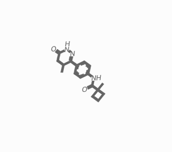 CC1CC(=O)NN=C1c1ccc(NC(=O)C2(C)CCC2)cc1